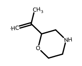 [CH]=C(C)C1CNCCO1